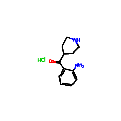 Cl.Nc1ccccc1C(=O)C1CCNCC1